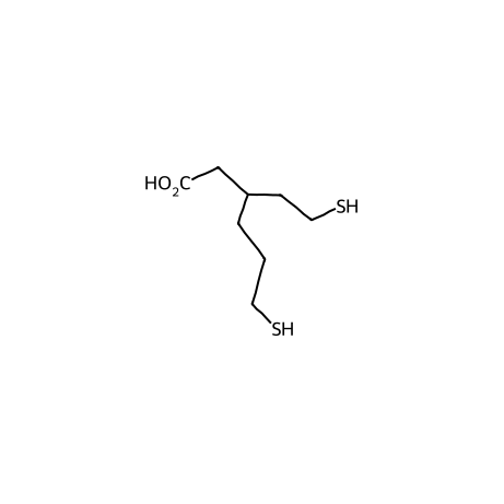 O=C(O)CC(CCS)CCCS